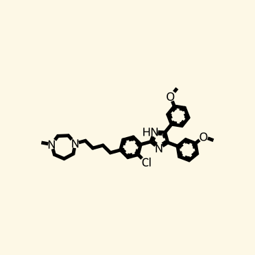 COc1cccc(-c2nc(-c3ccc(CCCCN4CCCN(C)CC4)cc3Cl)[nH]c2-c2cccc(OC)c2)c1